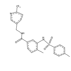 Cc1ccc(S(=O)(=O)Nc2cc(C(=O)NCc3ccc(C(F)(F)F)nc3)ccc2C)cc1